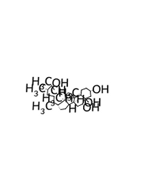 C[C@H](CC[C@H](C)C(C)(C)O)[C@H]1CC[C@H]2[C@@H]3C[C@@H](O)[C@@]4(O)C[C@@H](O)CC[C@]4(C)[C@H]3CC[C@]12C